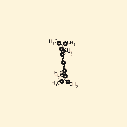 Cc1ccc(N(c2ccc(C)cc2)c2ccc3c(c2)C(C)(C)c2cc(/C=C/c4ccc(/C=C/c5ccc6c(c5)C(C)(C)c5cc(N(c7ccc(C)cc7)c7ccc(C)cc7)ccc5-6)cc4)ccc2-3)cc1